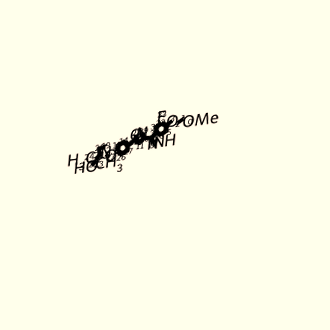 COCCOc1cc2[nH]nc(-c3cc(-c4ccc(ON5CCC5C(C)(C)O)cc4)on3)c2cc1F